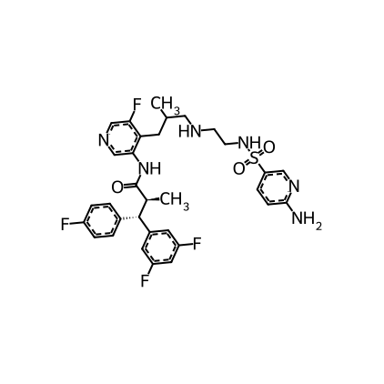 CC(CNCCNS(=O)(=O)c1ccc(N)nc1)Cc1c(F)cncc1NC(=O)[C@@H](C)[C@@H](c1ccc(F)cc1)c1cc(F)cc(F)c1